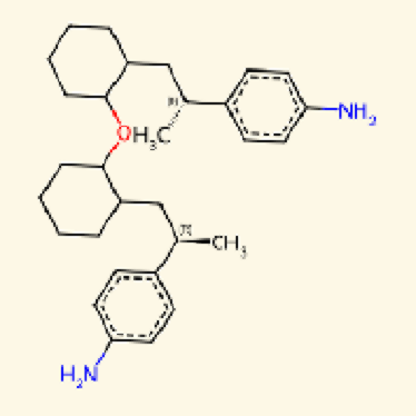 C[C@H](CC1CCCCC1OC1CCCCC1C[C@@H](C)c1ccc(N)cc1)c1ccc(N)cc1